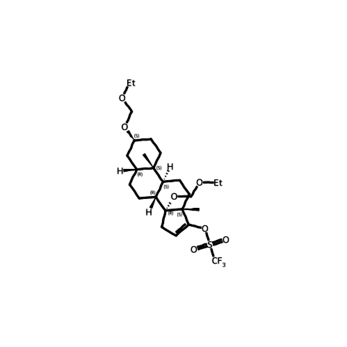 CCOCO[C@H]1CC[C@@]2(C)[C@H](CC[C@@H]3[C@@H]2CC[C@]2(C)C(OS(=O)(=O)C(F)(F)F)=CC[C@@]32OCOCC)C1